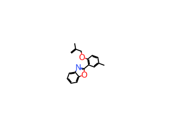 C=C(C)COc1ccc(C)cc1-c1nc2ccccc2o1